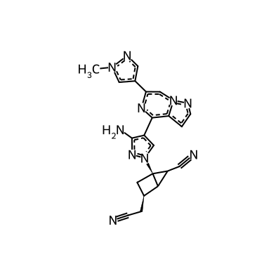 Cn1cc(-c2cn3nccc3c(-c3cn([C@]45C[C@H](CC#N)C4C5C#N)nc3N)n2)cn1